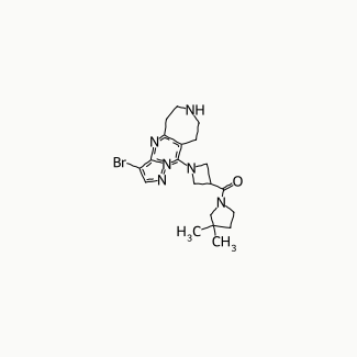 CC1(C)CCN(C(=O)C2CN(c3c4c(nc5c(Br)cnn35)CCNCC4)C2)C1